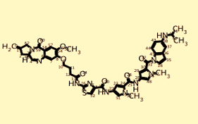 C=C1C[C@H]2C=Nc3cc(OCCCC(=O)Nc4nc(C(=O)Nc5cc(C(=O)Nc6cc(C(=O)n7ccc8cc(NC(C)C)ccc87)n(C)c6)n(C)c5)cs4)c(OC)cc3C(=O)N2C1